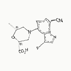 C[C@@H]1CN(c2ccc(C#N)n3ncc(F)c23)C[C@H](C(=O)O)O1